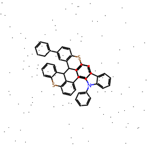 C1=CCCC(c2ccc3c(c2)C(C2c4ccccc4Sc4cccc(-c5cccc6c7ccccc7n(-c7ccccc7)c56)c42)C2=C(CCC=C2)S3)=C1